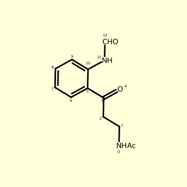 CC(=O)NCCC(=O)c1ccccc1NC=O